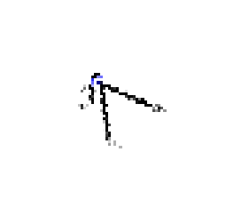 CCCCCCCCCCCCC(CCCCCCCCCCCC)c1nccn1C(C)CCCC